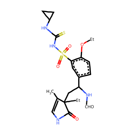 CCOc1ccc(C(CC2(CC)C(=O)NC=C2C)NC=O)cc1S(=O)(=O)NC(=S)NC1CC1